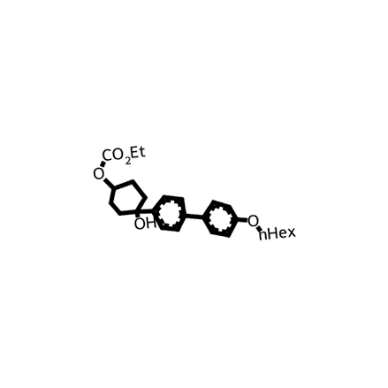 CCCCCCOc1ccc(-c2ccc(C3(O)CCC(OC(=O)OCC)CC3)cc2)cc1